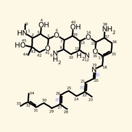 CNC1C(O)C(OC2C(N)CC(N)C(OC3OC(C/N=C/C=C(\C)CC/C=C(\C)CCC=C(C)C)=CCC3N)C2O)OCC1(C)O